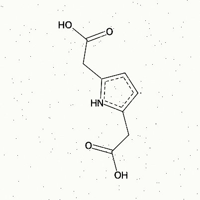 O=C(O)Cc1[c]cc(CC(=O)O)[nH]1